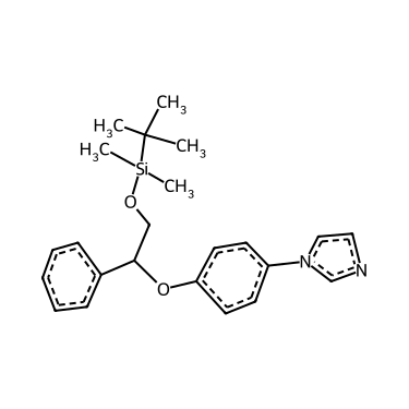 CC(C)(C)[Si](C)(C)OCC(Oc1ccc(-n2ccnc2)cc1)c1ccccc1